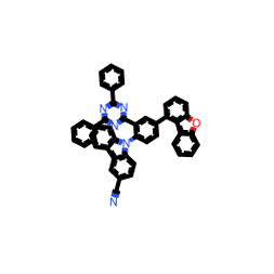 N#Cc1ccc2c(c1)c1ccccc1n2-c1ccc(-c2cccc3oc4ccccc4c23)cc1-c1nc(-c2ccccc2)nc(-c2ccccc2)n1